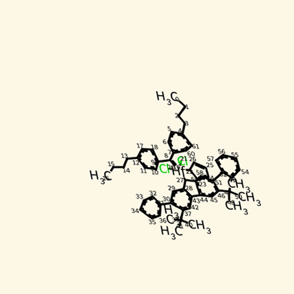 CCCCc1ccc([C](c2ccc(CCCC)cc2)=[Hf]([Cl])([Cl])([CH]2C=CC=C2)[CH]2c3cc(-c4ccccc4)c(C(C)(C)C)cc3-c3cc(C(C)(C)C)c(-c4ccccc4)cc32)cc1